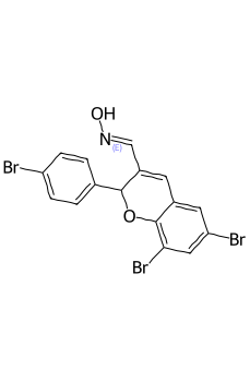 O/N=C/C1=Cc2cc(Br)cc(Br)c2OC1c1ccc(Br)cc1